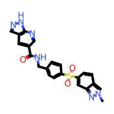 Cn1cc2ccc(S(=O)(=O)c3ccc(CNC(=O)c4cnc5[nH]ncc5c4)cc3)cc2n1